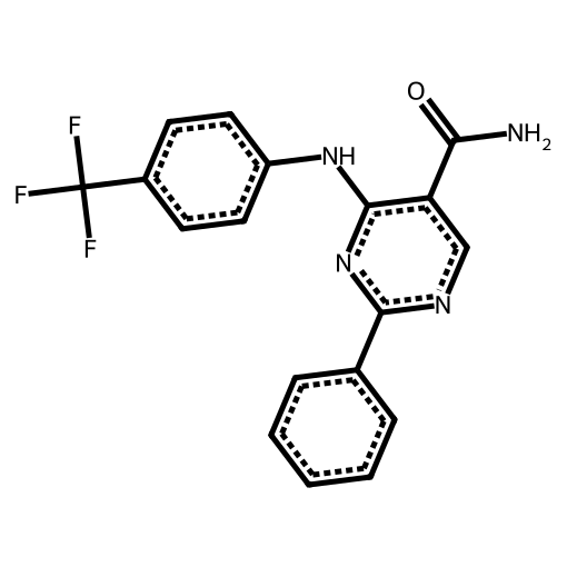 NC(=O)c1cnc(-c2ccccc2)nc1Nc1ccc(C(F)(F)F)cc1